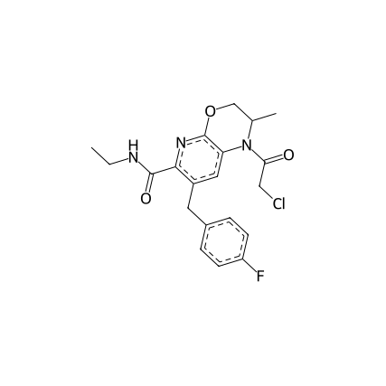 CCNC(=O)c1nc2c(cc1Cc1ccc(F)cc1)N(C(=O)CCl)C(C)CO2